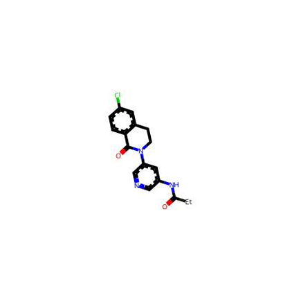 CCC(=O)Nc1cncc(N2CCc3cc(Cl)ccc3C2=O)c1